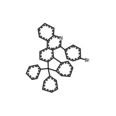 Brc1ccc(-c2nc3ccccc3c3ccc4c(c23)-c2ccccc2C4(c2ccccc2)c2ccccc2)cc1